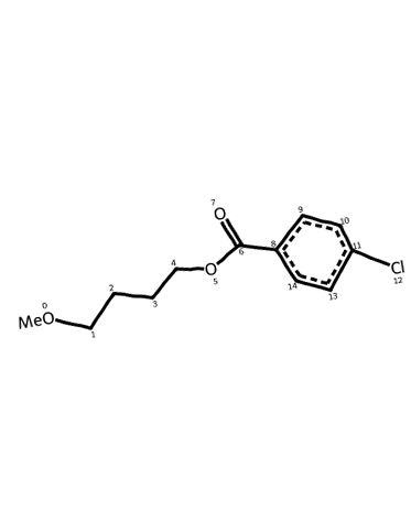 COCCCCOC(=O)c1ccc(Cl)cc1